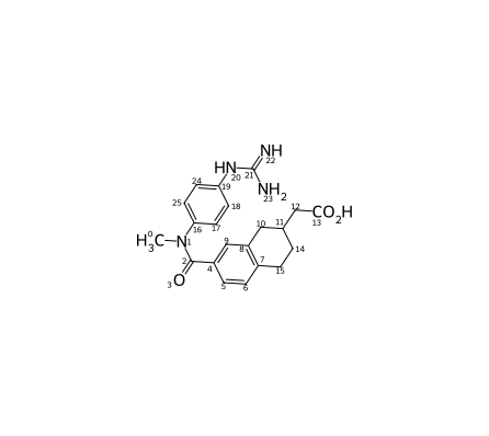 CN(C(=O)c1ccc2c(c1)CC(CC(=O)O)CC2)c1ccc(NC(=N)N)cc1